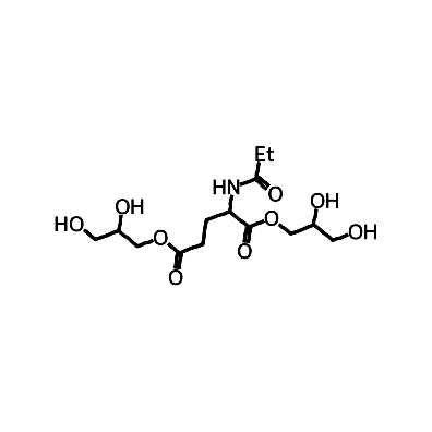 CCC(=O)NC(CCC(=O)OCC(O)CO)C(=O)OCC(O)CO